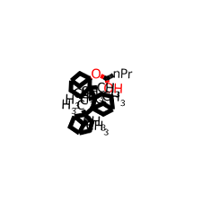 CCCC(O)OC12CC(CCC1(C)C1(C)CCC3CC1(C1(C)CCC4CC1C4(C)C)C3(C)C)C2(C)C